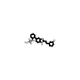 CS(=O)(=O)Nc1ccccc1-c1ccc2[nH]c(/C=C/c3cccc(Cl)c3)nc2c1